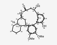 COc1cc2c(cc1OC)[C@@H]1C[C@H](C[C@@H]3CCCCN31)OC(=O)C[C@@H](O)c1ccc(O)c-2c1